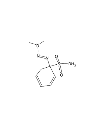 CN(C)N=NC1(S(N)(=O)=O)C=CC=CC1